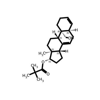 CC(C)(C)C(=O)O[C@H]1CC[C@H]2C3=CC[C@@H]4C=CCC[C@]4(CO)[C@H]3CC[C@]12C